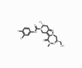 CC[C@@H]1Cc2nn3c(c2CN1C(=O)Nc1ccc(F)c(Cl)c1)C(=O)N(C)O[C@H](CO)C3